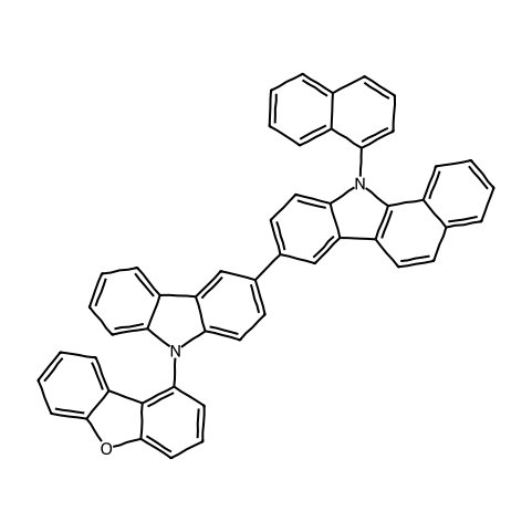 c1ccc2c(-n3c4ccc(-c5ccc6c(c5)c5ccccc5n6-c5cccc6oc7ccccc7c56)cc4c4ccc5ccccc5c43)cccc2c1